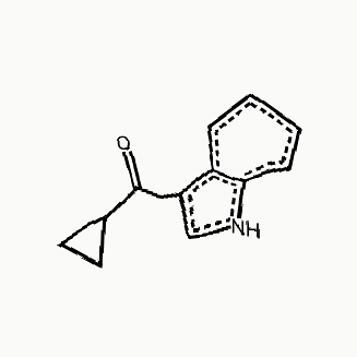 O=C(c1c[nH]c2ccccc12)C1CC1